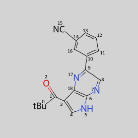 CC(C)(C)C(=O)c1c[nH]c2ncc(-c3cccc(C#N)c3)nc12